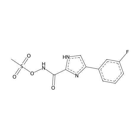 CS(=O)(=O)ONC(=O)c1nc(-c2cccc(F)c2)c[nH]1